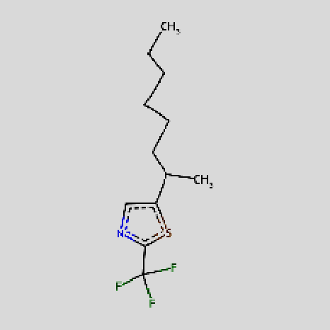 CCCCCCC(C)c1cnc(C(F)(F)F)s1